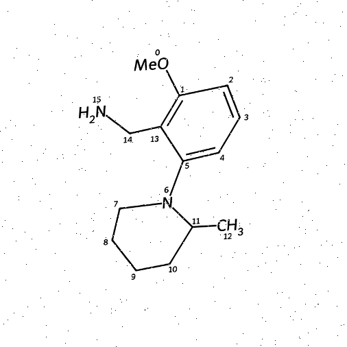 COc1cccc(N2CCCCC2C)c1CN